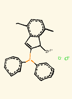 Cc1ccc(C)c2c1C=C(P(c1ccccc1)c1ccccc1)[CH]2[Zr+2].[Cl-].[Cl-]